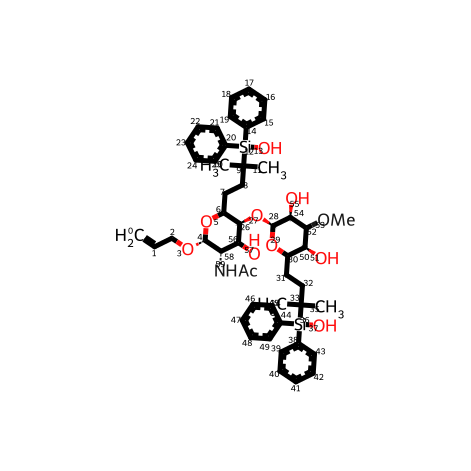 C=CCO[C@@H]1OC(CCC(C)(C)[Si](O)(c2ccccc2)c2ccccc2)[C@@H](O[C@@H]2OC(CCC(C)(C)[Si](O)(c3ccccc3)c3ccccc3)[C@H](O)C(OC)[C@@H]2O)C(O)[C@@H]1NC(C)=O